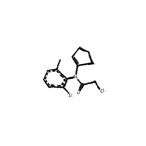 CCc1cccc(C)c1N(C(=O)CCl)C1=CCCC1